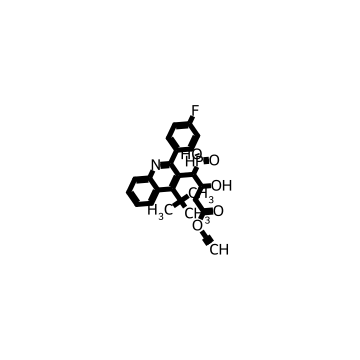 C#COC(=O)CC(O)C(c1c(-c2ccc(F)cc2)nc2ccccc2c1C(C)(C)C)[PH](=O)O